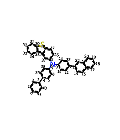 c1ccc(-c2ccc(N(c3ccc(-c4ccc5ccccc5c4)cc3)c3ccc4sc5ccccc5c4c3)cc2)cc1